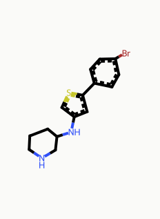 Brc1ccc(-c2cc(NC3CCCNC3)cs2)cc1